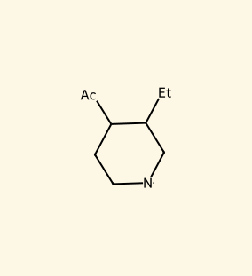 CCC1C[N]CCC1C(C)=O